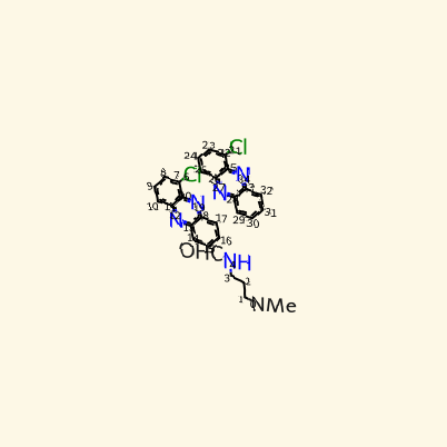 CNCCCNC=O.Clc1cccc2nc3ccccc3nc12.Clc1cccc2nc3ccccc3nc12